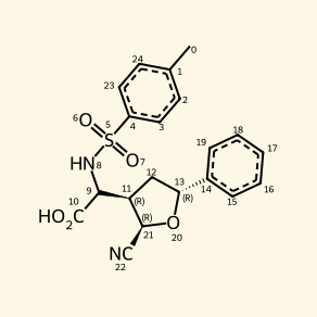 Cc1ccc(S(=O)(=O)NC(C(=O)O)[C@H]2C[C@H](c3ccccc3)O[C@H]2C#N)cc1